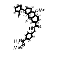 CON=C(N)c1ccc(CNC(=O)c2ccc3c(c2)[C@H](C)c2cc(-c4ccccc4F)ccc2[C@@H]3OC)cc1